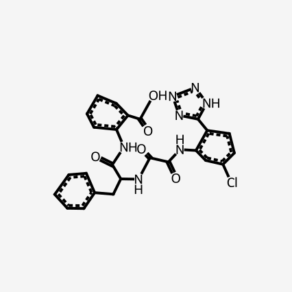 O=C(Nc1cc(Cl)ccc1-c1nnn[nH]1)C(=O)NC(Cc1ccccc1)C(=O)Nc1ccccc1C(=O)O